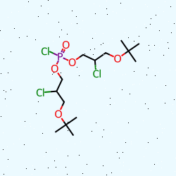 CC(C)(C)OCC(Cl)COP(=O)(Cl)OCC(Cl)COC(C)(C)C